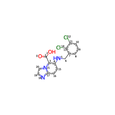 O=C(O)c1c(NCc2cccc(Cl)c2Cl)ccc2nccn12